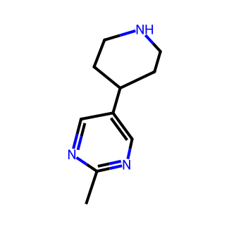 Cc1ncc(C2CCNCC2)cn1